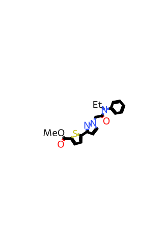 CCN(C(=O)Cn1ccc(-c2ccc(C(=O)OC)s2)n1)c1ccccc1